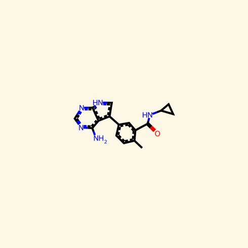 Cc1ccc(-c2c[nH]c3ncnc(N)c23)cc1C(=O)NC1CC1